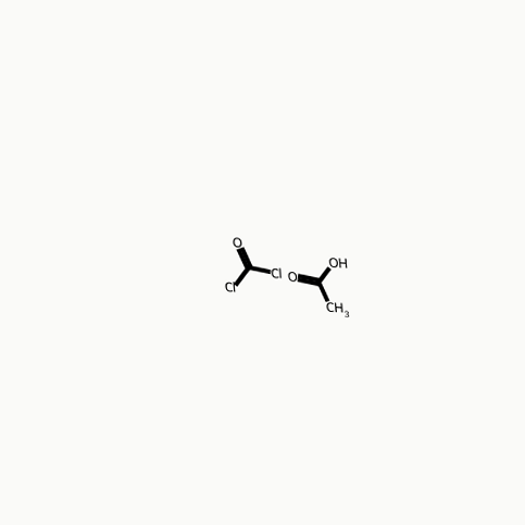 CC(=O)O.O=C(Cl)Cl